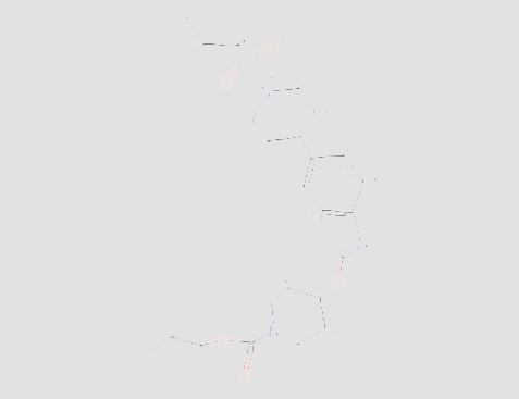 CCCOC(=O)N1CCC(Oc2nc3ccc(C4=CCN(S(=O)(=O)CCC)CC4)cc3s2)CC1